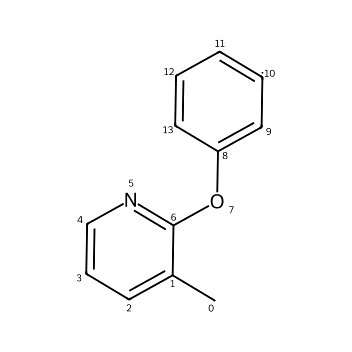 Cc1cccnc1Oc1c[c]ccc1